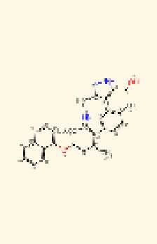 CCOC(=O)c1[nH]c2c(-c3c(C)n[nH]c3CO)c(C)ccc2c1C(C)CCOc1cccc2ccccc12